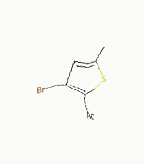 CC(=O)c1sc(C)cc1Br